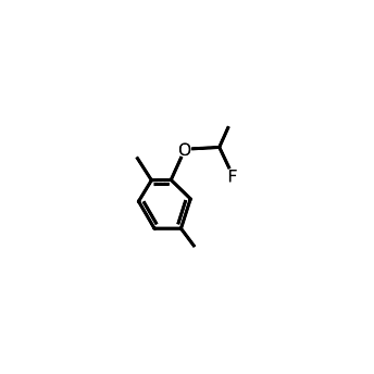 Cc1ccc(C)c(OC(C)F)c1